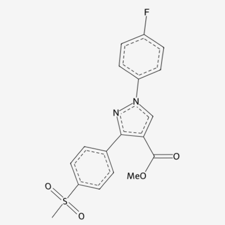 COC(=O)c1cn(-c2ccc(F)cc2)nc1-c1ccc(S(C)(=O)=O)cc1